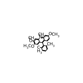 COc1ccc2c(-c3c(C)cccc3C)c3cc(OC)c(OC)cc3[n+](C)c2c1